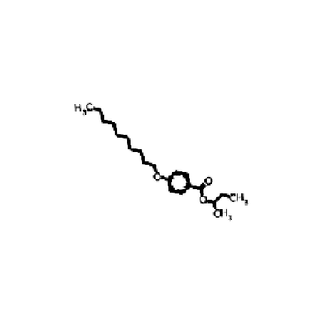 CCCCCCCCCCOc1ccc(C(=O)OC(C)CC)cc1